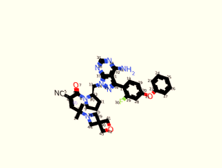 CC(C)(/C=C(/C#N)C(=O)N1CCC[C@@H]1Cn1nc(-c2ccc(Oc3ccccc3)cc2F)c2c(N)ncnc21)N1CC2(COC2)C1